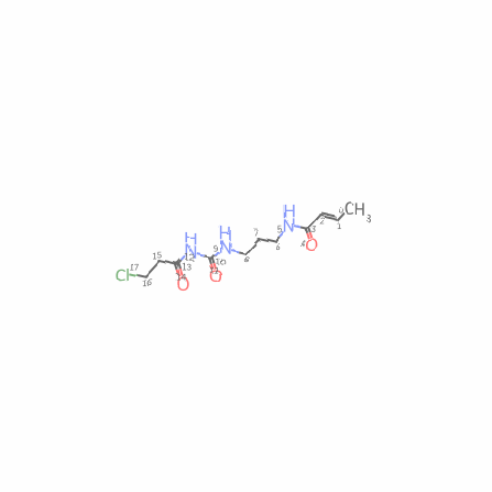 CC=CC(=O)NCCCNC(=O)NC(=O)CCCl